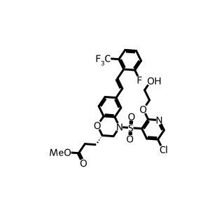 COC(=O)CC[C@H]1CN(S(=O)(=O)c2cc(Cl)cnc2OCCO)c2cc(/C=C/c3c(F)cccc3C(F)(F)F)ccc2O1